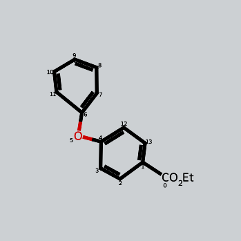 CCOC(=O)c1ccc(Oc2cc[c]cc2)cc1